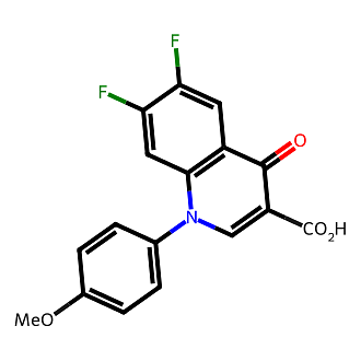 COc1ccc(-n2cc(C(=O)O)c(=O)c3cc(F)c(F)cc32)cc1